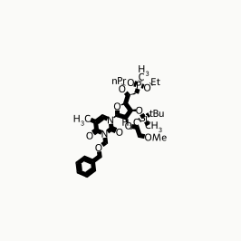 CCCO[C@H](CP(C)(=O)OCC)[C@H]1O[C@@H](n2cc(C)c(=O)n(COCc3ccccc3)c2=O)[C@H](OCCOC)[C@@H]1O[Si](C)(C)C(C)(C)C